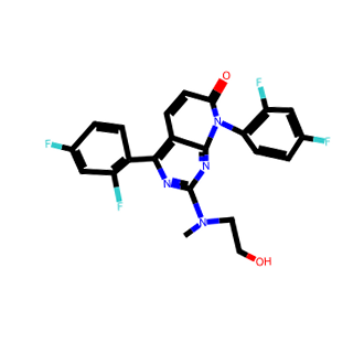 CN(CCO)c1nc(-c2ccc(F)cc2F)c2ccc(=O)n(-c3ccc(F)cc3F)c2n1